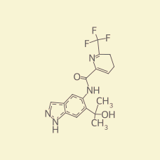 CC(C)(O)c1cc2[nH]ncc2cc1NC(=O)C1=CCCC(C(F)(F)F)=N1